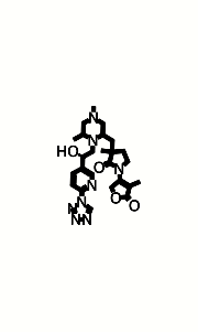 CC1=C(N2CCC(C)(CC3CN(C)CC(C)N3C[C@H](O)c3ccc(-n4cnnn4)nc3)C2=O)COC1=O